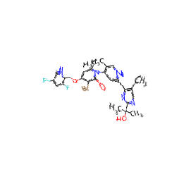 Cc1cnc(-c2nc(C(C)(C)O)ncc2C)cc1-n1c(C)cc(OCc2ncc(F)cc2F)c(Br)c1=O